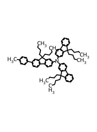 CCCCC1(CCCC)c2ccccc2-c2ccc(N(c3ccc4c(c3)C(CCCC)(CCCC)c3ccccc3-4)c3ccc4c(c3)C(CCCC)(CCCC)c3cc(-c5ccc(C)cc5)ccc3-4)cc21